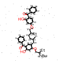 CCCCC(CC)COc1cc(O)c(C(=O)c2ccccc2)cc1CC(C)CCC(CC)COc1ccc(C(=O)c2ccccc2)c(O)c1